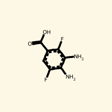 Nc1c(F)cc(C(=O)O)c(F)c1N